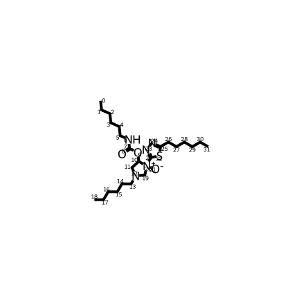 CCCCCCNC(=O)OC1CN(CCCCCC)C[N+]1([O-])c1nnc(CCCCCC)s1